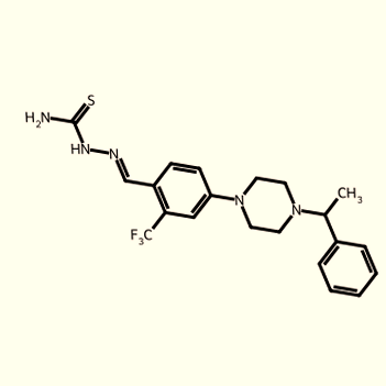 CC(c1ccccc1)N1CCN(c2ccc(C=NNC(N)=S)c(C(F)(F)F)c2)CC1